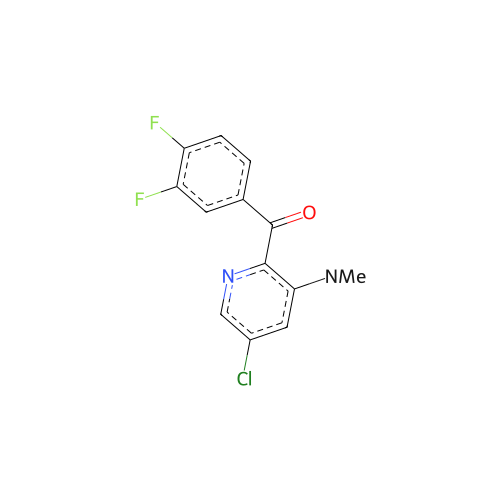 CNc1cc(Cl)cnc1C(=O)c1ccc(F)c(F)c1